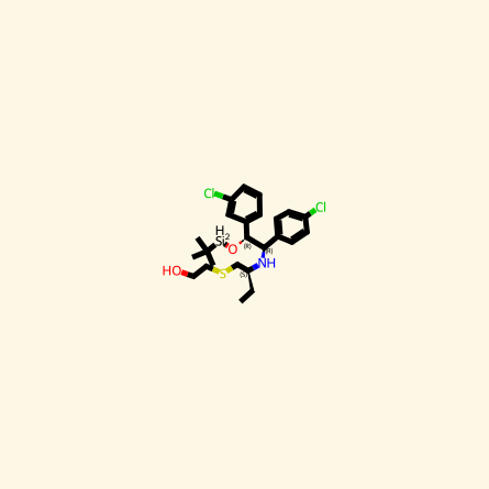 CC[C@@H](CSCCO)N[C@H](c1ccc(Cl)cc1)[C@H](O[SiH2]C(C)(C)C)c1cccc(Cl)c1